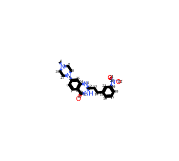 CN1CCN(c2ccc3c(=O)[nH]c(CCc4cccc([N+](=O)[O-])c4)nc3c2)CC1